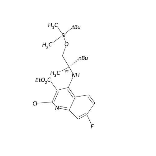 CCCC[C@](C)(CO[Si](C)(C)C(C)(C)C)Nc1c(C(=O)OCC)c(Cl)nc2cc(F)ccc12